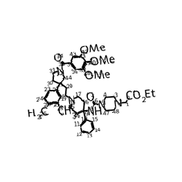 CCOC(=O)CN1CCN(C(=O)NC2(c3ccccc3)CCN(CCC3(c4ccc(C)c(C)c4)CCN(C(=O)c4cc(OC)c(OC)c(OC)c4)C3)CC2)CC1